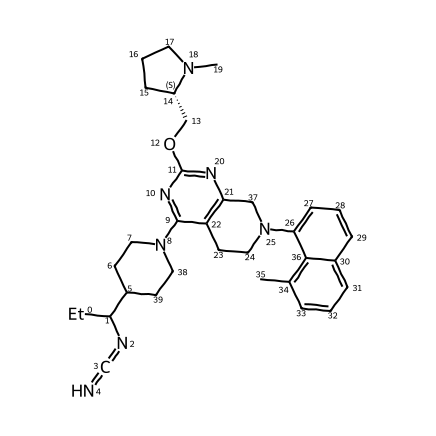 CCC(N=C=N)C1CCN(c2nc(OC[C@@H]3CCCN3C)nc3c2CCN(c2cccc4cccc(C)c24)C3)CC1